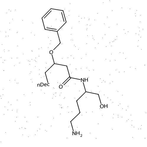 CCCCCCCCCCCC(CC(=O)NC(CO)CCCN)OCc1ccccc1